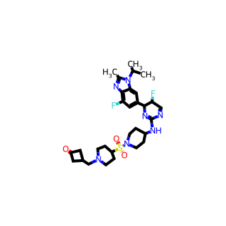 Cc1nc2c(F)cc(C3N=C(NC4CCN(S(=O)(=O)C5CCN(CC6CC(=O)C6)CC5)CC4)N=CC3F)cc2n1C(C)C